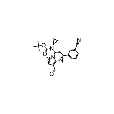 CC(C)(C)OC(=O)N(c1cc(-c2cccc(C#N)c2)nc2c(C=O)cnn12)C1CC1